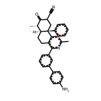 Cc1nc(-c2cccc(-c3ccc(N)cc3)c2)c2c(n1)[C@@]1(c3ccccc3)CC(C#N)C(=O)[C@@H](C)[C@@H]1CC2